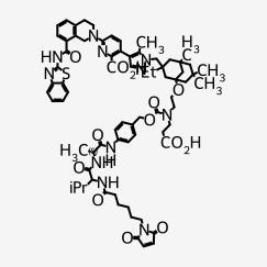 CCC1(Cn2ncc(-c3ccc(N4CCc5cccc(C(=O)Nc6nc7ccccc7s6)c5C4)nc3C(=O)O)c2C)CC2(C)CC(C)(C)CC(OCCN(CCC(=O)O)C(=O)OCc3ccc(NC(=O)[C@H](C)NC(=O)C(NC(=O)CCCCCN4C(=O)C=CC4=O)C(C)C)cc3)(C2)C1